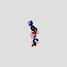 Cc1sc2c(c1C)OCCN(C(=O)CN1C(=O)O[C@]3(CCc4cc(-c5cnn(C)c5)ccc43)C1=O)C2